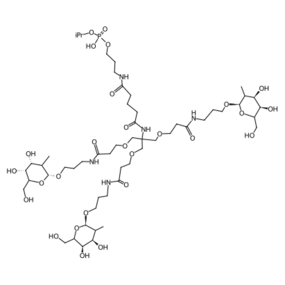 CC(C)OP(=O)(O)OCCCNC(=O)CCCC(=O)NC(COCCC(=O)NCCCO[C@@H]1OC(CO)[C@H](O)[C@H](O)C1C)(COCCC(=O)NCCCO[C@@H]1OC(CO)[C@H](O)[C@H](O)C1C)COCCC(=O)NCCCO[C@@H]1OC(CO)[C@H](O)[C@H](O)C1C